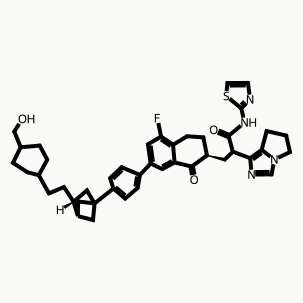 O=C(Nc1nccs1)C(C[C@@H]1CCc2c(F)cc(-c3ccc(C45CC(C4)[C@H](CCC4CCC(CO)CC4)C5)cc3)cc2C1=O)c1ncn2c1CCC2